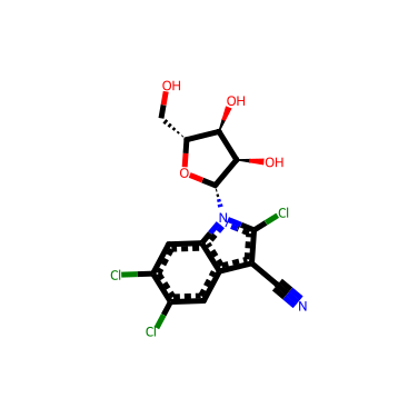 N#Cc1c(Cl)n([C@@H]2O[C@H](CO)[C@@H](O)[C@H]2O)c2cc(Cl)c(Cl)cc12